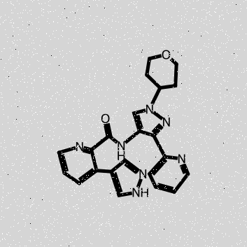 O=C(Nc1cn(C2CCOCC2)nc1-c1ccccn1)c1ncccc1-c1cn[nH]c1